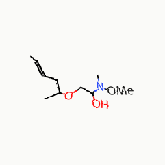 CC=CCC(C)OCC(O)N(C)OC